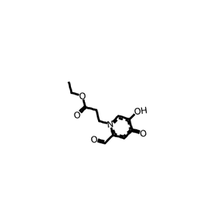 CCOC(=O)CCn1cc(O)c(=O)cc1C=O